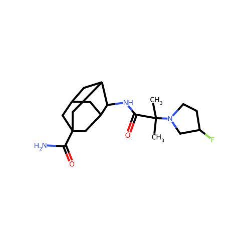 CC(C)(C(=O)NC1C2CC3CC1CC(C(N)=O)(C3)C2)N1CCC(F)C1